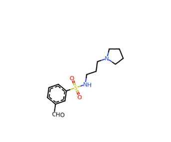 O=Cc1cccc(S(=O)(=O)NCCCN2CCCC2)c1